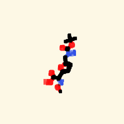 CON=C(C(=O)O)c1ccc(CNC(=O)OC(C)(C)C)o1